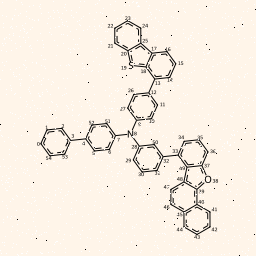 c1ccc(-c2ccc(N(c3ccc(-c4cccc5c4sc4ccccc45)cc3)c3cccc(-c4cccc5oc6c7ccccc7ccc6c45)c3)cc2)cc1